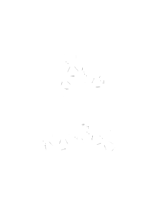 CCN(c1cc(-c2ccc(OCCOCCOCCOc3cc(-c4scnc4C)ccc3CNC(=O)C3C[C@@H](O)CN3C(=O)C(C(C)C)N3Cc4ccccc4C3=O)cc2)cc(C(=O)NCc2c(C)cc(C)[nH]c2=O)c1C)C1CCOCC1